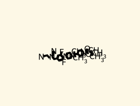 CC(C)(C)OC(=O)N1CCC(C(C)(C)N2CCN(c3c(F)cc(CN(C#N)CCC#N)cc3F)CC2)CC1